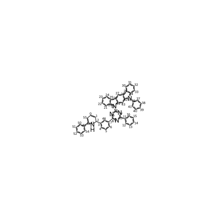 C1=CC(c2cccc(-c3nc(-c4ccccc4)nc(-n4c5ccccc5c5cc6c7ccccc7n(-c7ccccc7)c6cc54)n3)c2)NC(c2ccccc2)=C1